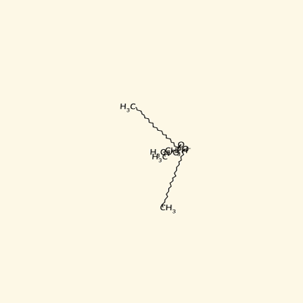 CCCCCCCCCCCCCCCCCCCCCC(=O)[PH-](OCC[N+](C)(C)C)C(=O)CCCCCCCCCCCCCCCCCCCCC